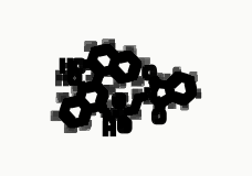 O=C1c2ccccc2C(=O)N1CCS(=O)(=O)Nc1cc(-c2c(O)ccc3ccccc23)c(O)c2ccccc12